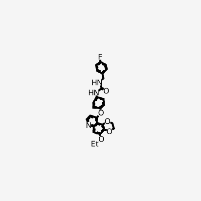 CCOc1cc2nccc(Oc3ccc(NC(=O)NCc4ccc(F)cc4)cc3)c2c2c1OCCO2